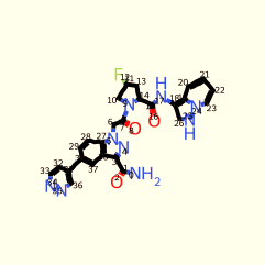 NC(=O)c1nn(CC(=O)N2CC(F)CC2C(=O)NC2=C3C=CC=CN3NC2)c2ccc(-c3ccnnc3)cc12